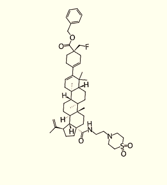 C=C(C)[C@@H]1CC[C@]2(C(=O)NCCN3CCS(=O)(=O)CC3)CC[C@]3(C)[C@H](CC[C@@H]4[C@@]5(C)CC=C(C6=CC[C@@](CF)(C(=O)OCc7ccccc7)CC6)C(C)(C)[C@@H]5CC[C@]43C)[C@@H]12